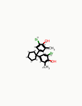 Cc1cc(C2(c3cc(C)c(O)c(Br)c3)CCCCC2)cc(Br)c1O